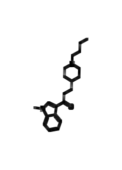 CCCCN1CCC(CCC(=O)c2cn(C)c3ccccc23)CC1